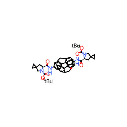 CC(C)(C)OC(=O)N1CC2(CC2)C[C@H]1C(=O)Nc1ccc(-c2cc3ccc2CCc2ccc(c(-c4ccc(NC(=O)[C@@H]5CC6(CC6)CN5C(=O)OC(C)(C)C)cc4)c2)CC3)cc1